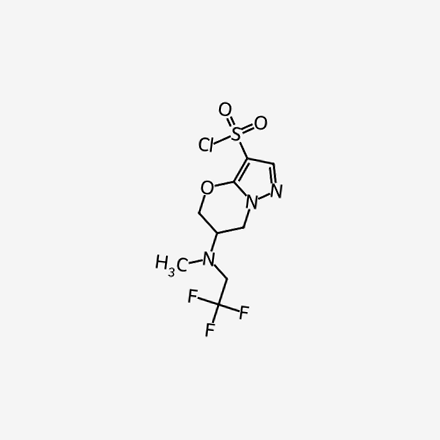 CN(CC(F)(F)F)C1COc2c(S(=O)(=O)Cl)cnn2C1